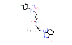 CC(C)(CNC(=O)CCCc1nc(-c2ccc(Cl)cc2)no1)CNc1n[nH]c(=O)c2ccccc12